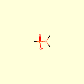 CB(C)P(C)(=O)O